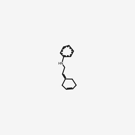 C1=CCC(=CCNc2ccccc2)CC1